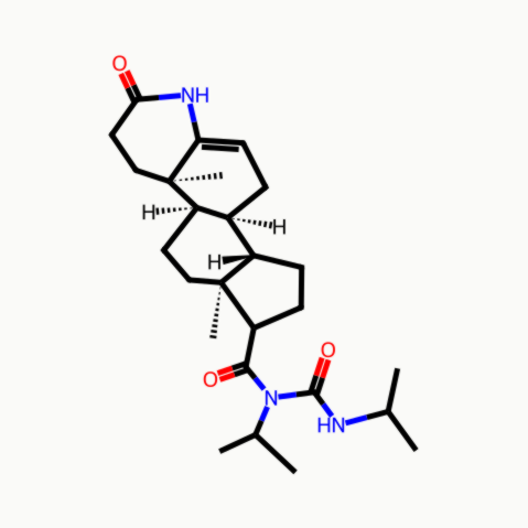 CC(C)NC(=O)N(C(=O)C1CC[C@H]2[C@@H]3CC=C4NC(=O)CC[C@]4(C)[C@@H]3CC[C@]12C)C(C)C